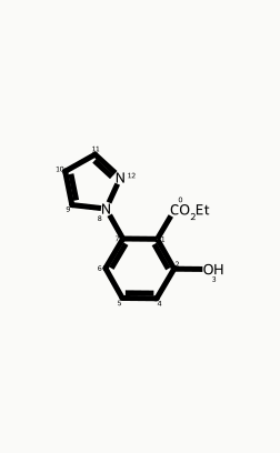 CCOC(=O)c1c(O)cccc1-n1cccn1